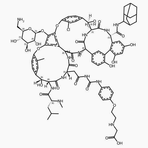 CN[C@H](CC(C)C)C(=O)N[C@H]1C(=O)N[C@@H](CC(=O)NC(=O)Nc2ccc(OCCNCC(=O)O)cc2)C(=O)N[C@H]2C(=O)N[C@H]3C(=O)N[C@H](C(=O)N[C@H](C(=O)NC4C5CC6CC(C5)CC4C6)c4cc(O)cc(O)c4-c4cc3ccc4O)[C@H](O)c3ccc(c(Cl)c3)Oc3cc2cc(c3O[C@@H]2O[C@H](CN)[C@@H](O)[C@H](O)[C@H]2O)Oc2ccc(cc2C)[C@H]1O